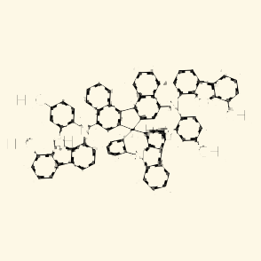 Cc1ccc(N(c2cc3c(c4ccccc24)-c2c(cc(N(c4ccc(C)cc4C)c4cccc5c4oc4c(C)cccc45)c4ccccc24)C32c3ccccc3-n3c4ccccc4c4cccc2c43)c2cccc3c2oc2c(C)cccc23)c(C)c1